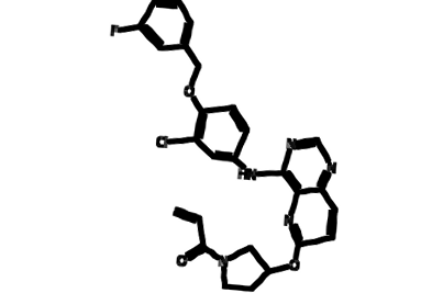 C=CC(=O)N1CCC(Oc2ccc3ncnc(Nc4ccc(OCc5cccc(F)c5)c(Cl)c4)c3n2)C1